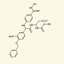 COc1cc(C(Nc2ccc(C(=N)NO)cc2)C(=O)NC(CC(=O)O)NC(=O)OC(C)(C)C)ccc1OCc1ccccc1